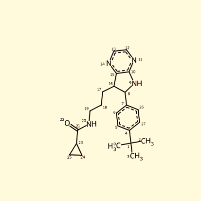 CC(C)(C)c1ccc(C2Nc3nccnc3C2CCCNC(=O)C2CC2)cc1